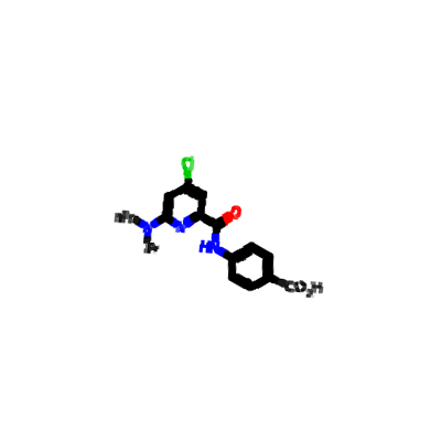 CCCN(c1cc(Cl)cc(C(=O)Nc2ccc(C(=O)O)cc2)n1)C(C)C